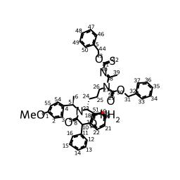 COc1ccc([C@@H](C)N(C(=O)C(c2ccccc2)c2ccccc2)[C@H](CCCN(C(=O)OCc2ccccc2)C(C)=NC(=S)OCc2ccccc2)C(N)=O)cc1